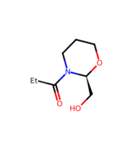 CCC(=O)N1CCCO[C@H]1CO